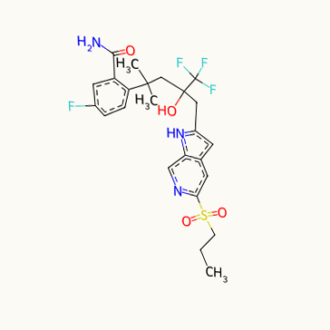 CCCS(=O)(=O)c1cc2cc(CC(O)(CC(C)(C)c3ccc(F)cc3C(N)=O)C(F)(F)F)[nH]c2cn1